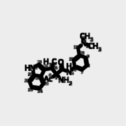 CC(=O)C(N)(C(=O)Nc1cccc(CN(C)C)c1)C(C)c1c[nH]c2ccccc12